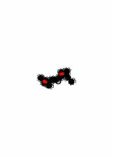 c1ccc(-c2ccc(N(c3ccc4cc5c(cc4c3)oc3cc4cc(N(c6ccc(-c7ccccc7)cc6)c6ccccc6-c6ccccc6)ccc4cc35)c3ccccc3-c3ccccc3)cc2)cc1